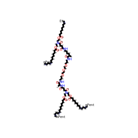 CC/C=C\CCCCCCCC(=O)OCCN(CCOC(=O)CCCCCCC/C=C\C/C=C\CCCCC)C(=O)CCC(=O)NCCCCC(C)C(=O)NCCCOCCOCCOCCCNC(=O)C(C)NC(=O)CCC(=O)N(CCOC(=O)CCCCCCC/C=C\C/C=C\CCCCC)CCOC(=O)CCCCCCC/C=C\C/C=C\CCCCC